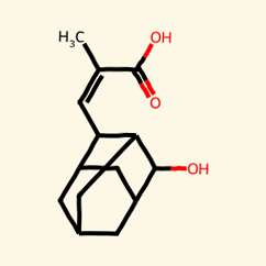 CC(=CC1C2CC3CC(C2)C(O)C1C3)C(=O)O